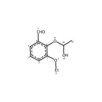 CCOc1cccc(C=O)c1OC(C)O